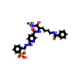 CNC(=O)C(CCCCNC(=O)c1ccccc1)NC(=O)c1ccc(NN=Cc2ccccc2S(=O)(=O)O)nc1